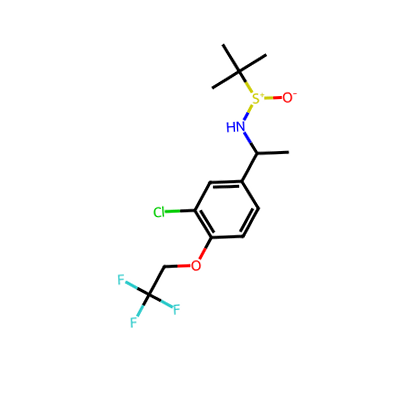 CC(N[S+]([O-])C(C)(C)C)c1ccc(OCC(F)(F)F)c(Cl)c1